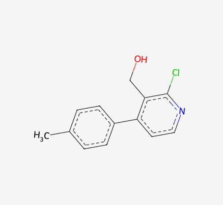 Cc1ccc(-c2ccnc(Cl)c2CO)cc1